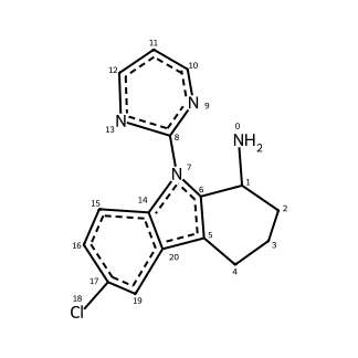 NC1CCCc2c1n(-c1ncccn1)c1ccc(Cl)cc21